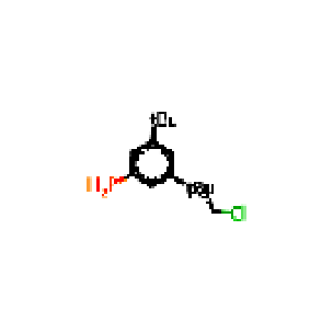 CC(C)(C)c1cc(P)cc(C(C)(C)C)c1.Cl[CH2][Pd]